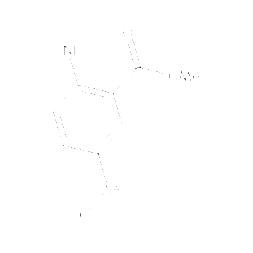 COC(=O)c1cc([Se]C)ccc1N